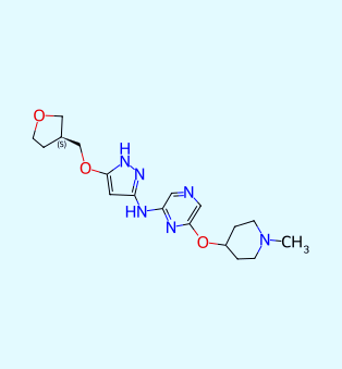 CN1CCC(Oc2cncc(Nc3cc(OC[C@H]4CCOC4)[nH]n3)n2)CC1